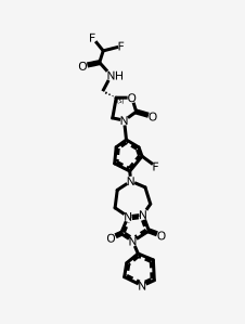 O=C(NC[C@H]1CN(c2ccc(N3CCn4c(=O)n(-c5ccncc5)c(=O)n4CC3)c(F)c2)C(=O)O1)C(F)F